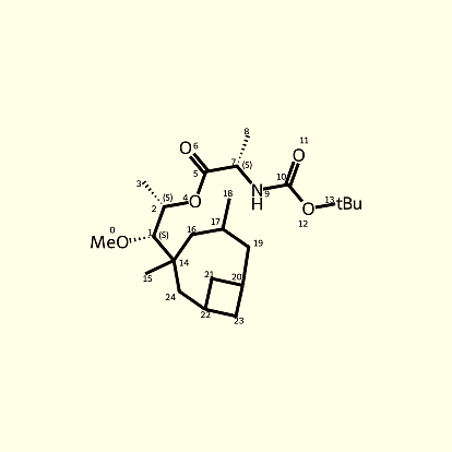 CO[C@H]([C@H](C)OC(=O)[C@H](C)NC(=O)OC(C)(C)C)C1(C)CC(C)CC2CC(C2)C1